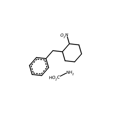 NC(=O)O.O=[N+]([O-])C1CCCCC1Cc1ccccc1